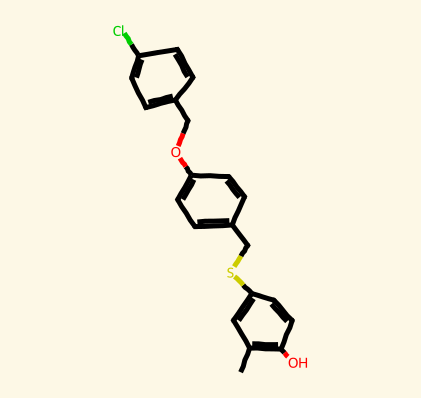 Cc1cc(SCc2ccc(OCc3ccc(Cl)cc3)cc2)ccc1O